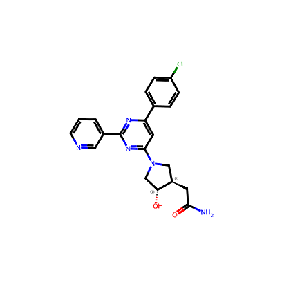 NC(=O)C[C@@H]1CN(c2cc(-c3ccc(Cl)cc3)nc(-c3cccnc3)n2)C[C@H]1O